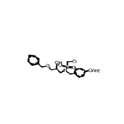 COc1ccc(CN(CC(O)COCc2ccccc2)S(=O)(=O)CCl)cc1